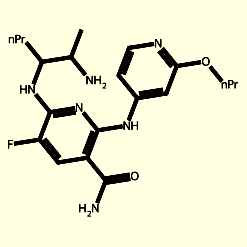 CCCOc1cc(Nc2nc(NC(CCC)C(C)N)c(F)cc2C(N)=O)ccn1